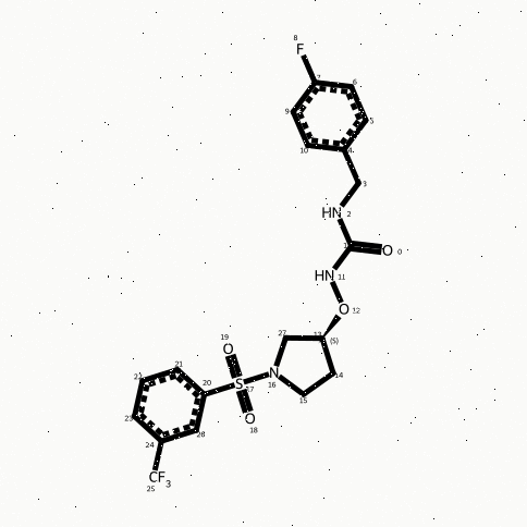 O=C(NCc1ccc(F)cc1)NO[C@H]1CCN(S(=O)(=O)c2cccc(C(F)(F)F)c2)C1